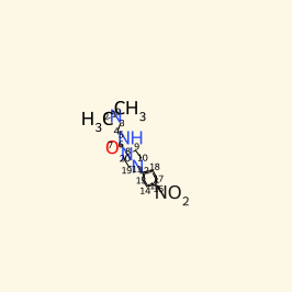 CN(C)CCNC(=O)N1CCN(c2ccc([N+](=O)[O-])cc2)CC1